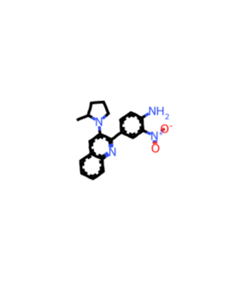 CC1CCCN1c1cc2ccccc2nc1-c1ccc(N)c([N+](=O)[O-])c1